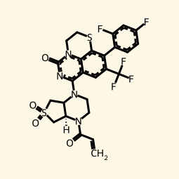 C=CC(=O)N1CCN(c2nc(=O)n3c4c(c(-c5ccc(F)cc5F)c(C(F)(F)F)cc24)SCC3)C2CS(=O)(=O)C[C@@H]21